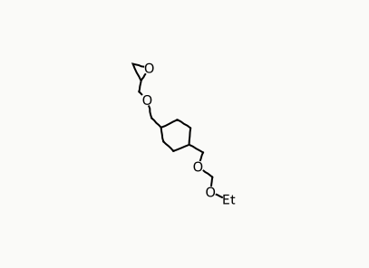 CCOCOCC1CCC(COCC2CO2)CC1